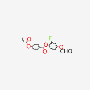 C=CC(=O)Oc1ccc(C(=O)Oc2ccc(OC=O)cc2F)cc1